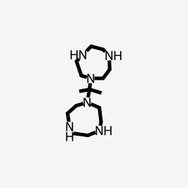 CC(C)(N1CCNCCNCC1)N1CCNCCNCC1